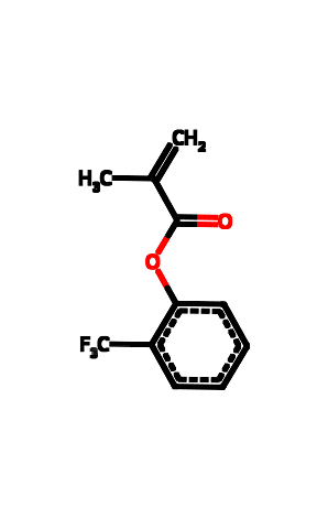 C=C(C)C(=O)Oc1ccccc1C(F)(F)F